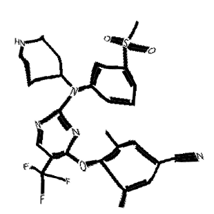 Cc1cc(C#N)cc(C)c1Oc1nc(N(c2cccc(S(C)(=O)=O)c2)C2CCNCC2)ncc1C(F)(F)F